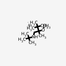 COC(C)(CNC(C)(C)C)C(C)(C)C.[In]